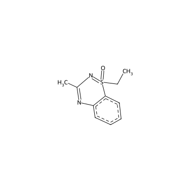 CCS1(=O)=NC(C)=Nc2ccccc21